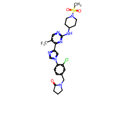 CS(=O)(=O)N1CCC(Nc2ncc(C(F)(F)F)c(-c3cn(-c4ccc(CN5CCCC5=O)cc4Cl)cn3)n2)CC1